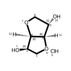 Cl.O[C@@H]1CO[C@H]2[C@@H]1OC[C@@H]2O